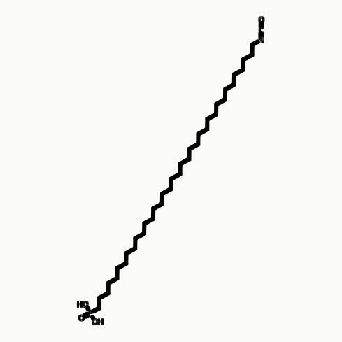 O=C=NCCCCCCCCCCCCCCCCCCCCCCCCCCCCCCCCCCCCP(=O)(O)O